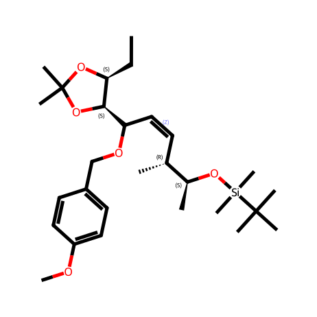 CC[C@@H]1OC(C)(C)O[C@@H]1C(/C=C\[C@@H](C)[C@H](C)O[Si](C)(C)C(C)(C)C)OCc1ccc(OC)cc1